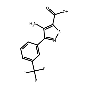 Nc1c(-c2cccc(C(F)(F)F)c2)nsc1C(=O)O